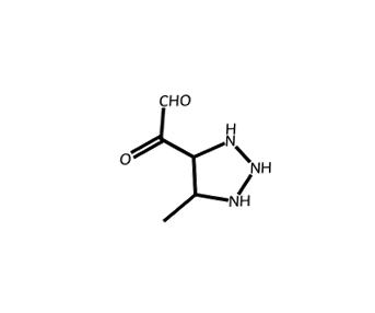 CC1NNNC1C(=O)C=O